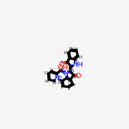 O=C1/C(=C2/C(=O)c3cccc4c3N2C(O)c2cccc[n+]2-4)Nc2ccccc21